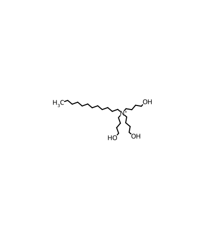 CCCCCCCCCCCC[N+](CCCCO)(CCCCO)CCCCO